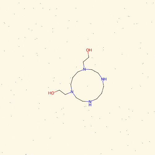 OCCN1CCCN(CCO)CCNCCCNCC1